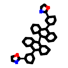 c1cc(-c2ncco2)cc(-c2c3ccccc3c(-c3c4ccccc4c(-c4cccc(-c5ncco5)c4)c4ccccc34)c3ccccc23)c1